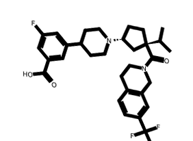 CC(C)[C@]1(C(=O)N2CCc3ccc(C(F)(F)F)cc3C2)CC[C@@H](N2CCC(c3cc(F)cc(C(=O)O)c3)CC2)C1